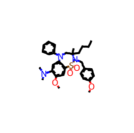 CCCCC1(C)CN(c2ccccc2)c2cc(N(C)C)c(OC)cc2S(=O)(=O)N1Cc1ccc(OC)cc1